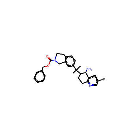 CC(C)c1cnc2c(c1)C(N)C(C(C)(C)c1ccc3c(c1)CN(C(=O)OCc1ccccc1)CC3)CC2